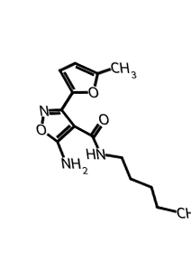 CCCCCNC(=O)c1c(-c2ccc(C)o2)noc1N